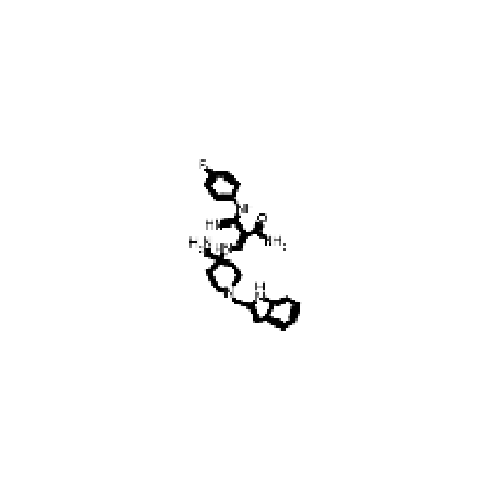 N=C(Nc1ccc(F)cc1)/C(=C\NC1(CN)CCN(Cc2cc3ccccc3[nH]2)CC1)C(N)=O